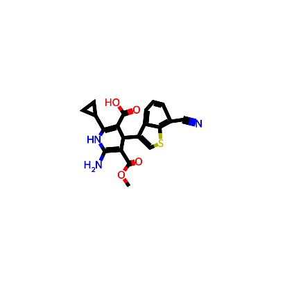 COC(=O)C1=C(N)NC(C2CC2)=C(C(=O)O)C1c1csc2c(C#N)cccc12